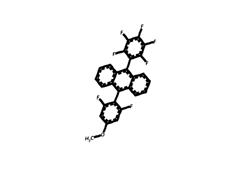 COc1cc(F)c(-c2c3ccccc3c(-c3c(F)c(F)c(F)c(F)c3F)c3ccccc23)c(F)c1